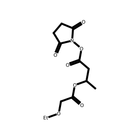 CCOCC(=O)OC(C)CC(=O)ON1C(=O)CCC1=O